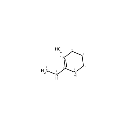 Cl.NNC1=NCCCN1